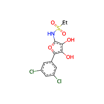 CCS(=O)(=O)Nc1oc(-c2cc(Cl)cc(Cl)c2)c(O)c1O